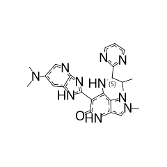 CC(C)[C@H](Nc1c(-c2nc3ncc(N(C)C)cc3[nH]2)c(=O)[nH]c2cn(C)nc12)c1ncccn1